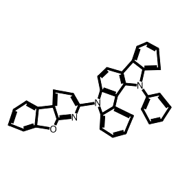 c1ccc(-n2c3ccccc3c3ccc4c(c5ccccc5n4-c4ccc5c(n4)oc4ccccc45)c32)cc1